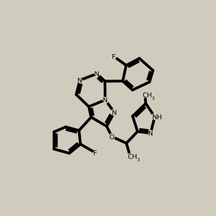 Cc1cc(C(C)Oc2nn3c(-c4ccccc4F)nncc3c2-c2ccccc2F)n[nH]1